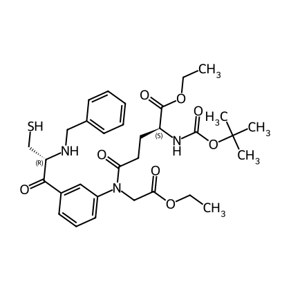 CCOC(=O)CN(C(=O)CC[C@H](NC(=O)OC(C)(C)C)C(=O)OCC)c1cccc(C(=O)[C@H](CS)NCc2ccccc2)c1